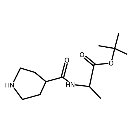 CC(NC(=O)C1CCNCC1)C(=O)OC(C)(C)C